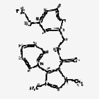 Cc1cn(C)c(C(=O)NCc2cccc(OC(F)(F)F)c2)c1-c1ccccc1